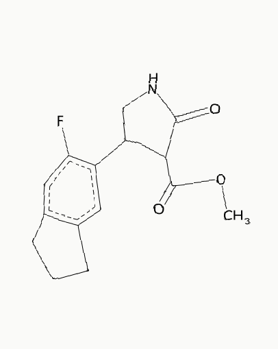 COC(=O)C1C(=O)NCC1c1cc2c(cc1F)CCC2